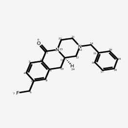 O=C1c2ccc(CF)cc2C[C@@H]2CN(Cc3ccccc3)CCN12